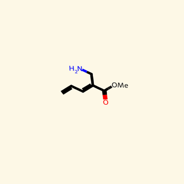 C=CC=C(CN)C(=O)OC